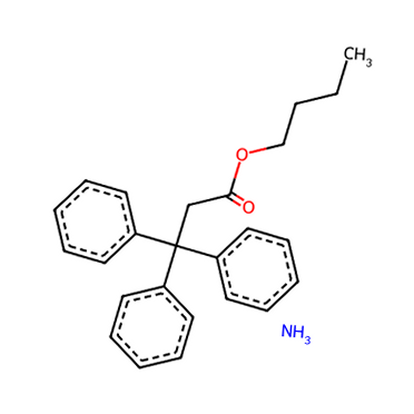 CCCCOC(=O)CC(c1ccccc1)(c1ccccc1)c1ccccc1.N